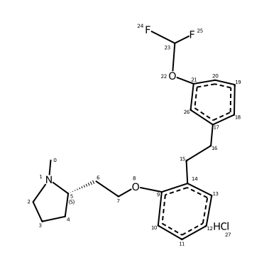 CN1CCC[C@H]1CCOc1ccccc1CCc1cccc(OC(F)F)c1.Cl